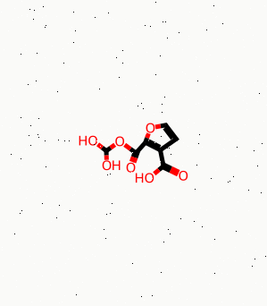 O=C(O)c1ccoc1C(=O)OC(O)O